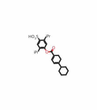 CC(C)c1cc(S(=O)(=O)O)c(C(C)C)cc1OC(=O)C1=CC=C(C2CCCCC2)CC1